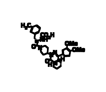 COc1ccc(C2=NN(C3CCN(C(=O)[C@H](Cc4cccc(C)c4)NC(=O)O)CC3)C(=O)[C@@H]3CCCC[C@H]23)cc1OC